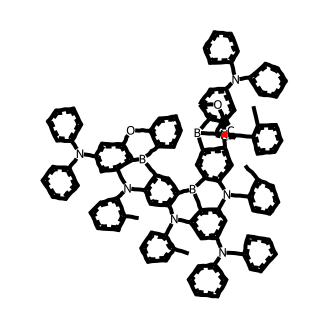 Cc1ccccc1N1c2cc3c(cc2B2c4ccccc4Oc4cc(N(c5ccccc5)c5ccccc5)cc1c42)B1c2cc4c(cc2N(c2ccccc2C)c2cc(N(c5ccccc5)c5ccccc5)cc(c21)N3c1ccccc1C)N(c1ccccc1C)c1cc(N(c2ccccc2)c2ccccc2)cc2c1B4c1ccccc1O2